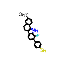 O=Cc1ccc2c(c1)CCc1c-2[nH]c2c(F)c(-c3ccc(S)cc3)ccc12